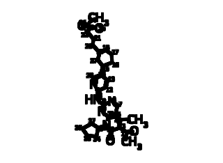 CC(=O)c1c(C)c2cnc(Nc3ccc(C4CCCC(CCCS(C)(=O)=O)C4)cn3)nc2n(C2CCCC2)c1=O